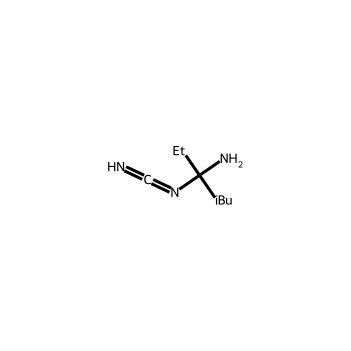 CCC(C)C(N)(CC)N=C=N